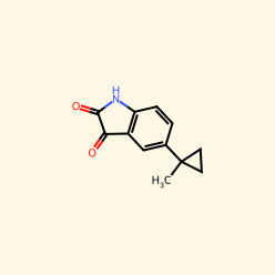 CC1(c2ccc3c(c2)C(=O)C(=O)N3)CC1